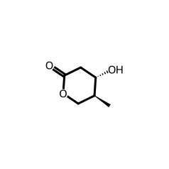 C[C@H]1COC(=O)C[C@@H]1O